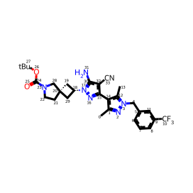 Cc1nn(Cc2cccc(C(F)(F)F)c2)c(C)c1-c1nn([C@H]2C[C@@]3(CCN(C(=O)OC(C)(C)C)C3)C2)c(N)c1C#N